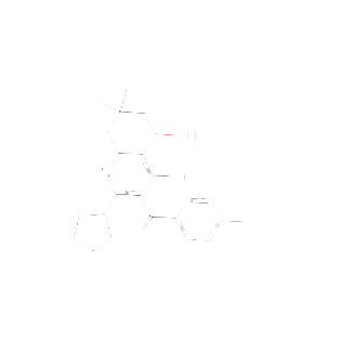 CCc1c(C(=O)c2ccc(C(F)(F)F)cc2)c(C2CCCC2)nc2c1C(O)CC(C)(C)C2